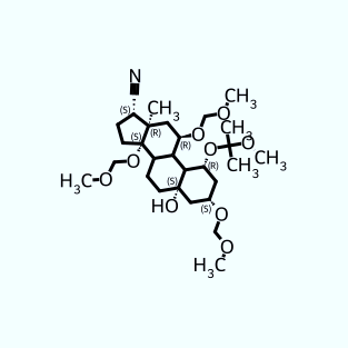 COCO[C@H]1C[C@@H](OC(C)(C)OC)C2C3C(CC[C@]2(O)C1)[C@@]1(OCOC)CC[C@H](C#N)[C@@]1(C)C[C@H]3OCOC